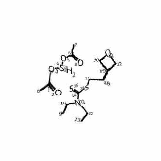 CC(=O)O[SiH2]OC(C)=O.CCN(CC)C(=S)SCCC1COC1